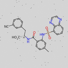 Cc1ccc(C(=O)N[C@@H](Cc2cccc(C#N)c2)C(=O)O)c(NS(=O)(=O)c2cccc3nccnc23)c1